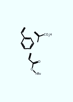 C=C(C)C(=O)O.C=CC(=O)OCCCC.C=Cc1ccccc1